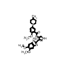 C=C1CCN(c2ccc(OC)c(C(=O)Nc3c[nH]nc3-c3nc4cc(OC)c(OC)cc4[nH]3)c2)CC1